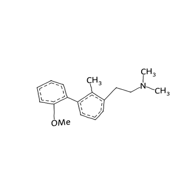 COc1ccccc1-c1cccc(CCN(C)C)c1C